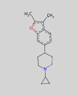 Cc1oc2cc(C3CCN(C4CC4)CC3)ccc2c1C